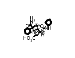 CCCCCN(C(=O)[C@@H](CCC(=O)O)NC(=O)Nc1ccccc1)C(C(N)=O)(c1ccccc1)C(C)C